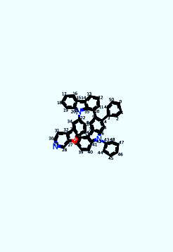 c1ccc(-c2cc3c(cc2-c2cccc4c5ccccc5n(-c5ccc6oc7cnccc7c6c5)c24)c2ccccc2n3-c2ccccc2)cc1